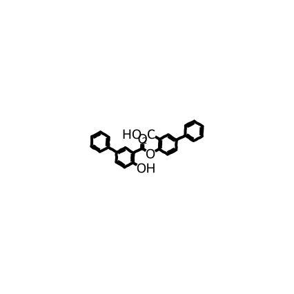 O=C(Oc1ccc(-c2ccccc2)cc1C(=O)O)c1cc(-c2ccccc2)ccc1O